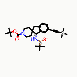 CC(C)(C)OC(=O)N1CCC2(CC1)Cc1ccc(C#C[Si](C)(C)C)cc1[C@H]2N[S@+]([O-])C(C)(C)C